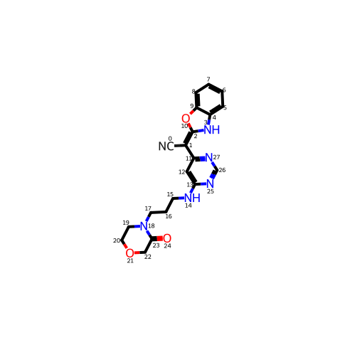 N#CC(=C1Nc2ccccc2O1)c1cc(NCCCN2CCOCC2=O)ncn1